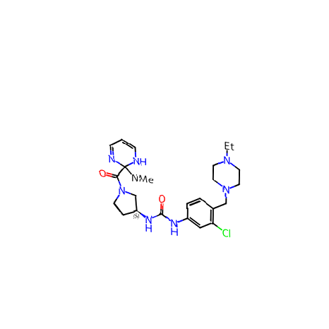 CCN1CCN(Cc2ccc(NC(=O)N[C@H]3CCN(C(=O)C4(NC)N=CC=CN4)C3)cc2Cl)CC1